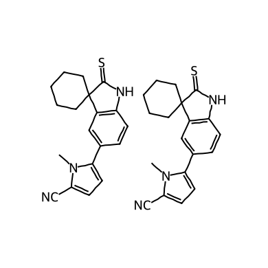 Cn1c(C#N)ccc1-c1ccc2c(c1)C1(CCCCC1)C(=S)N2.Cn1c(C#N)ccc1-c1ccc2c(c1)C1(CCCCC1)C(=S)N2